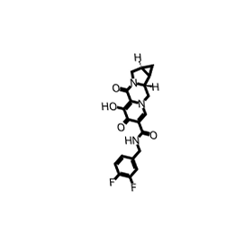 O=C(NCc1ccc(F)c(F)c1)c1cn2c(c(O)c1=O)C(=O)N1C[C@H]3CC3[C@@H]1C2